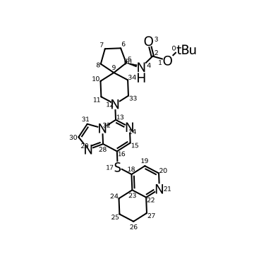 CC(C)(C)OC(=O)N[C@@H]1CCCC12CCN(c1ncc(Sc3ccnc4c3CCCC4)c3nccn13)CC2